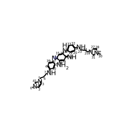 C[n+]1ccn(CCCNc2ccc(/N=C3/C=C(Nc4ccc(NCCCn5cc[n+](C)c5)cc4)C(=N)C=C3N)cc2)c1